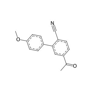 COc1ccc(-c2cc(C(C)=O)ccc2C#N)cc1